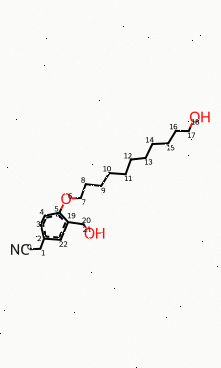 N#CCc1ccc(OCCCCCCCCCCCO)c(CO)c1